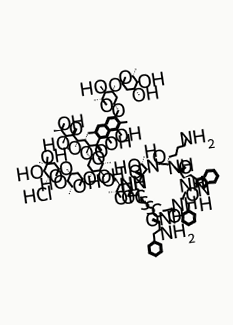 CO[C@H](C(=O)[C@@H](O)[C@@H](C)O)[C@@H]1Cc2cc3cc(O[C@H]4C[C@@H](O[C@H]5C[C@@H](O)[C@H](O)[C@@H](C)O5)[C@H](O)[C@@H](C)O4)c(C)c(O)c3c(O)c2C(=O)[C@H]1O[C@H]1C[C@@H](O[C@H]2C[C@@H](O[C@H]3C[C@](C)(O)[C@H](O)[C@@H](C)O3)[C@@H](O)[C@@H](C)O2)[C@H](O)[C@@H](C)O1.C[C@@H](O)[C@@H]1NC(=O)[C@H](CCCCN)NC(=O)[C@@H](Cc2c[nH]c3ccccc23)NC(=O)[C@H](Cc2ccccc2)NC(=O)[C@@H](NC(=O)[C@H](N)Cc2ccccc2)CSSC[C@@H](C(=O)N[C@H](CO)[C@@H](C)O)NC1=O.Cl